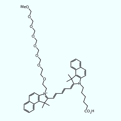 COCOCOCOCOCOCOCCOCC[N+]1=C(/C=C/C=C/C=C2/N(CCCCCC(=O)O)c3ccc4ccccc4c3C2(C)C)C(C)(C)c2c1ccc1ccccc21